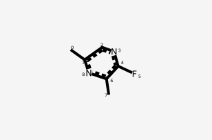 Cc1cnc(F)c(C)n1